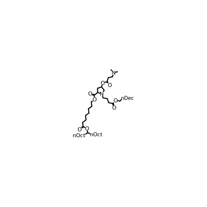 CCCCCCCCCCCOC(=O)CCCN1CC(OC(=O)CCN(C)C)CC1C(=O)OCCCCCCCC(=O)OC(CCCCCCCC)CCCCCCCC